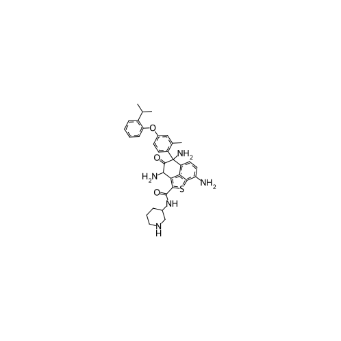 Cc1cc(Oc2ccccc2C(C)C)ccc1C1(N)C(=O)C(N)c2c(C(=O)NC3CCCNC3)sc3c(N)ccc1c23